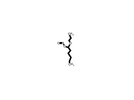 CCCCCC(OCCC)ON=O